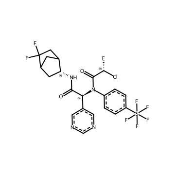 O=C(N[C@@H]1CC2CC1CC2(F)F)[C@H](c1cncnc1)N(C(=O)[C@H](F)Cl)c1ccc(S(F)(F)(F)(F)F)cc1